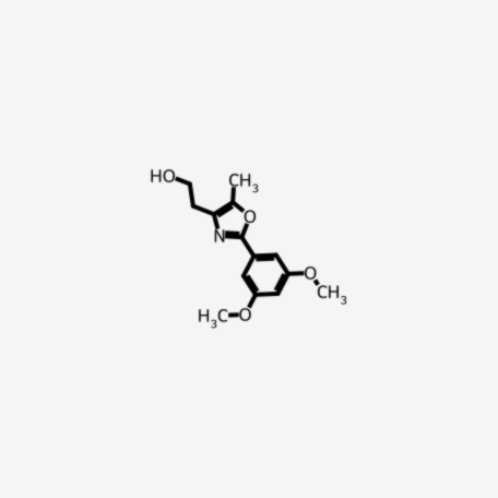 COc1cc(OC)cc(-c2nc(CCO)c(C)o2)c1